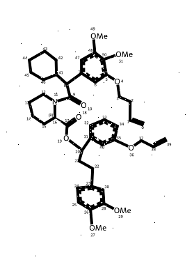 C=CCCOc1cc(C(C(=O)N2CCCC[C@@H]2C(=O)OC(CCc2ccc(OC)c(OC)c2)c2cccc(OCC=C)c2)C2CCCCC2)cc(OC)c1OC